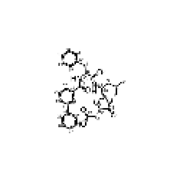 CC(C)C[C@H](NC(=O)[C@H](Cc1ccccc1)NC(=O)c1cccc(-c2ccccc2)n1)B1OC(=O)[C@H](CC(=O)O)O1